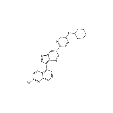 [2H]c1ccc2c(-c3cnn4cc(-c5ccc(OC6CCCCC6)cn5)cnc34)cccc2n1